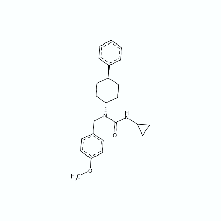 COc1ccc(CN(C(=O)NC2CC2)[C@H]2CC[C@H](c3ccccc3)CC2)cc1